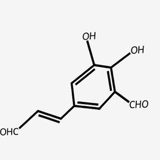 O=C/C=C/c1cc(O)c(O)c(C=O)c1